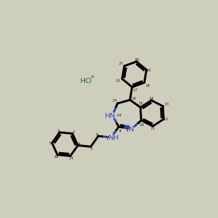 Cl.c1ccc(CCNC2=Nc3ccccc3C(c3ccccc3)CN2)cc1